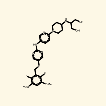 COc1cc(OC)c(F)c(COc2cnc(Nc3ccc(N4CCC(NC(CO)CO)CC4)nc3)nc2)c1F